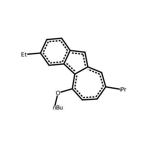 CCCCOc1ccc(C(C)C)cc2cc3ccc(CC)cc3c1-2